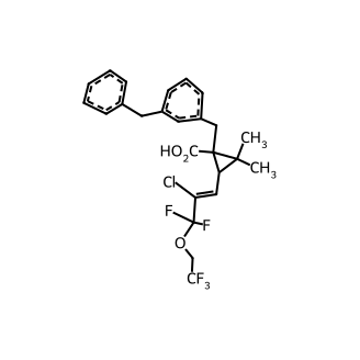 CC1(C)C(C=C(Cl)C(F)(F)OCC(F)(F)F)C1(Cc1cccc(Cc2ccccc2)c1)C(=O)O